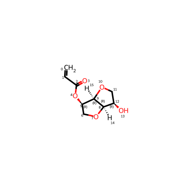 C=CC(=O)O[C@@H]1CO[C@H]2[C@@H]1OC[C@H]2O